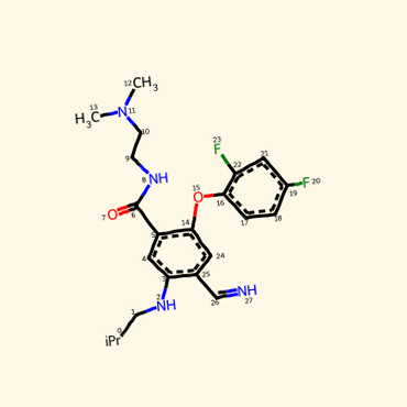 CC(C)CNc1cc(C(=O)NCCN(C)C)c(Oc2ccc(F)cc2F)cc1C=N